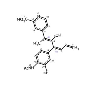 C=C/C=C(\C(O)=C(/C)c1ccnc(C(=O)O)c1)c1ccc(NC(C)=O)c(F)c1